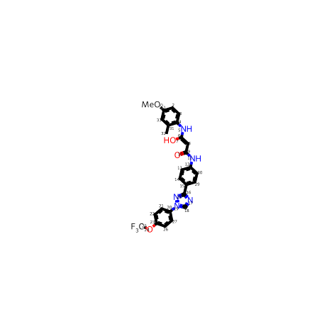 COc1ccc(NC(O)=CC(=O)Nc2ccc(-c3ncn(-c4ccc(OC(F)(F)F)cc4)n3)cc2)c(C)c1